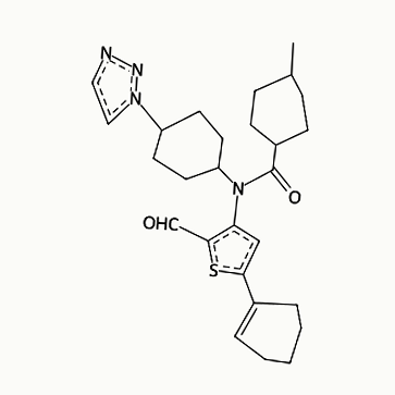 CC1CCC(C(=O)N(c2cc(C3=CCCCC3)sc2C=O)C2CCC(n3ccnn3)CC2)CC1